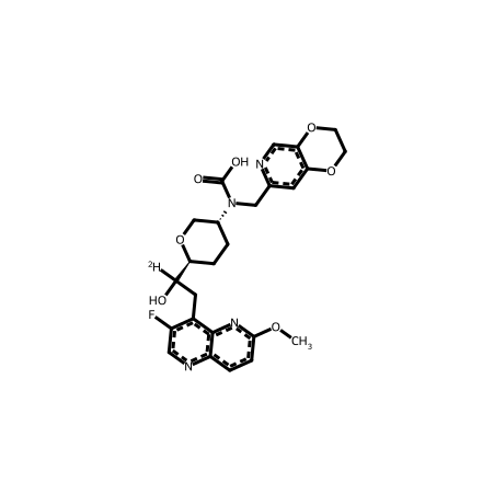 [2H]C(O)(Cc1c(F)cnc2ccc(OC)nc12)[C@@H]1CC[C@@H](N(Cc2cc3c(cn2)OCCO3)C(=O)O)CO1